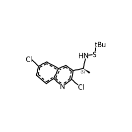 C[C@H](NSC(C)(C)C)c1cc2cc(Cl)ccc2nc1Cl